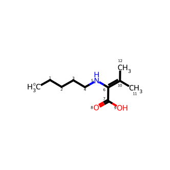 CCCCCNC(C(=O)O)=C(C)C